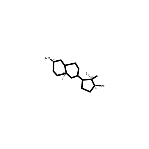 CC[C@@]1(C)C(C2CCC3C[C@H](OC(C)=O)CC[C@]3(C)C2)CC[C@@H]1C(C)=O